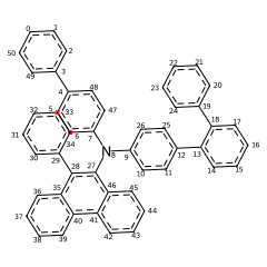 c1ccc(-c2ccc(N(c3ccc(-c4ccccc4-c4ccccc4)cc3)c3c(-c4ccccc4)c4ccccc4c4ccccc34)cc2)cc1